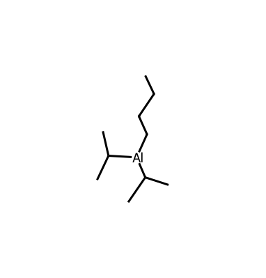 CCC[CH2][Al]([CH](C)C)[CH](C)C